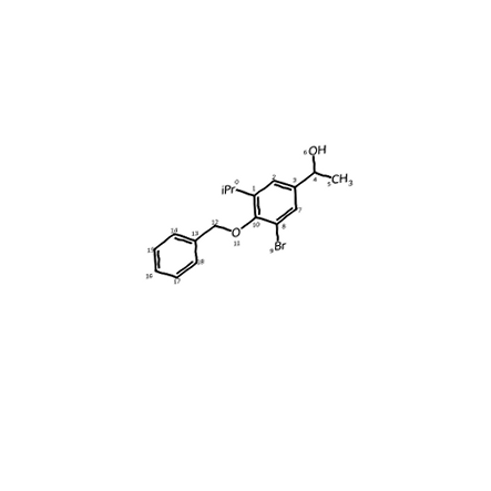 CC(C)c1cc(C(C)O)cc(Br)c1OCc1ccccc1